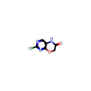 O=C1COc2nc(Cl)ncc2N1